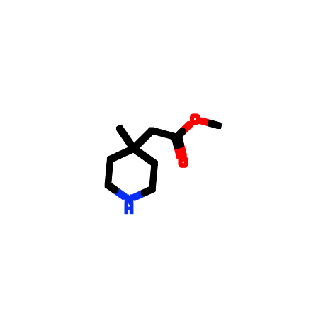 COC(=O)CC1(C)CCNCC1